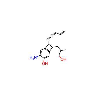 C=CC=C=C[C@H]1c2cc(N)c(O)cc2C1CC(C)CO